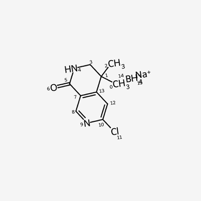 CC1(C)CNC(=O)c2cnc(Cl)cc21.[BH4-].[Na+]